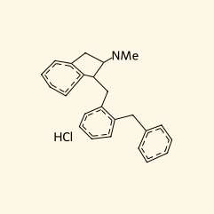 CNC1Cc2ccccc2C1Cc1ccccc1Cc1ccccc1.Cl